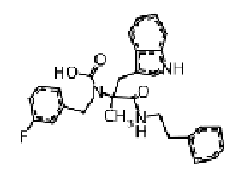 C[C@@](Cc1c[nH]c2ccccc12)(C(=O)NCCc1ccccc1)N(Cc1cccc(F)c1)C(=O)O